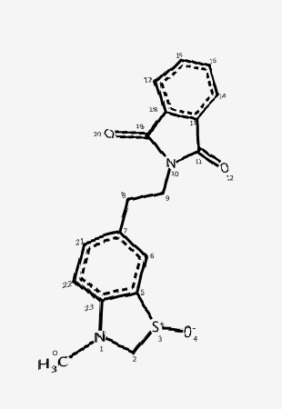 CN1C[S+]([O-])c2cc(CCN3C(=O)c4ccccc4C3=O)ccc21